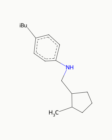 CCC(C)c1ccc(NCC2CCCC2C)cc1